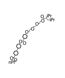 CCCOC(=O)c1ccc(-c2ccc(OC(=O)c3ccc(OCCOCCOCCOC(=O)C(CC(C)C)C(C)C)cc3)cc2)cc1